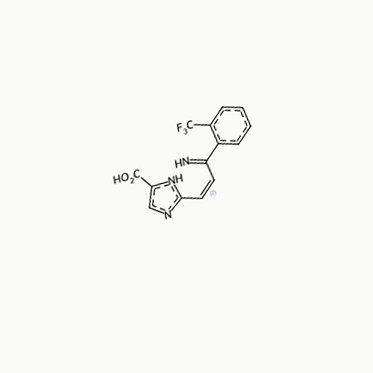 N=C(/C=C\c1ncc(C(=O)O)[nH]1)c1ccccc1C(F)(F)F